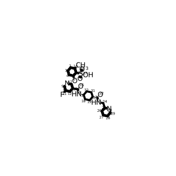 Cc1cccc(Oc2ncc(F)cc2C(=O)N[C@H]2CC[C@@H](C(=O)NCc3ccccn3)CC2)c1S(=O)(=O)O